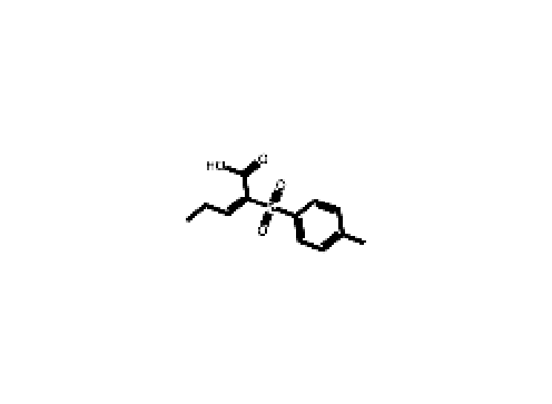 CC/C=C(\C(=O)O)S(=O)(=O)c1ccc(C)cc1